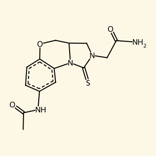 CC(=O)Nc1ccc2c(c1)N1C(=S)N(CC(N)=O)CC1CO2